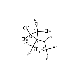 CC(C(F)(F)F)C1(C(F)(F)F)C(Cl)(Cl)C1(Cl)Cl